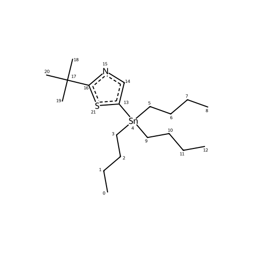 CCC[CH2][Sn]([CH2]CCC)([CH2]CCC)[c]1cnc(C(C)(C)C)s1